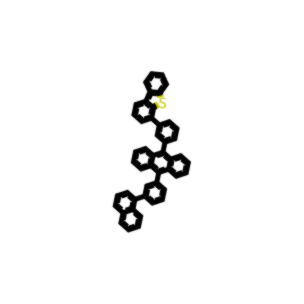 c1cc(-c2cccc3ccccc23)cc(-c2c3ccccc3c(-c3cccc(-c4cccc5c4sc4ccccc45)c3)c3ccccc23)c1